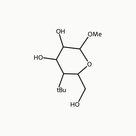 COC1OC(CO)C(C(C)(C)C)C(O)C1O